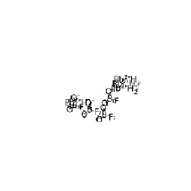 [O-]B([O-])F.[O-]B([O-])F.[O-]B([O-])F.[O-]B([O-])F.[PbH2+2].[PbH2+2].[PbH2+2].[PbH2+2]